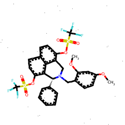 COc1ccc(CN2Cc3c(OS(=O)(=O)C(F)(F)F)ccc4ccc(OS(=O)(=O)C(F)(F)F)c(c34)[C@H]2c2ccccc2)c(OC)c1